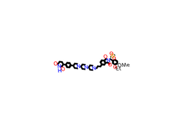 CCOc1cc([C@@H](CS(C)(=O)=O)N2C(=O)c3ccc(CCCN4CCC(N5CCC(N6CCC(c7ccc(C8CCC(=O)NC8=O)cc7)CC6)CC5)CC4)cc3C2=O)ccc1OC